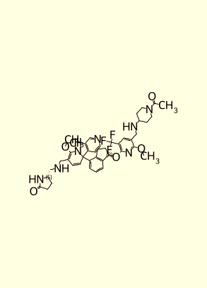 COC1=C(CNC[C@@H]2CCC(=O)N2)C=CC(c2ccncc2Cl)(c2cccc3c2CC[C@H]3Oc2nc(OC)c(CNC3CCN(C(C)=O)CC3)cc2C(F)(F)F)N1